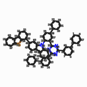 c1ccc(-c2cccc(-c3nc(-c4cccc(-c5ccccc5)c4)nc(-c4cc(-c5ccccc5)ccc4-n4c5ccccc5c5ccc(-c6cccc7c6sc6ccccc67)cc54)n3)c2)cc1